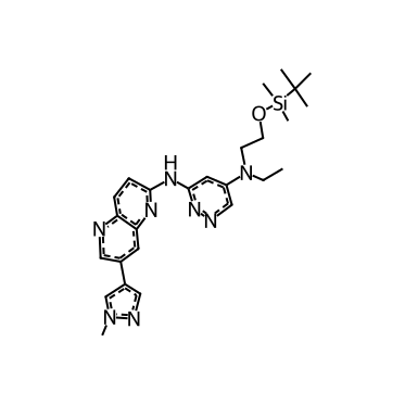 CCN(CCO[Si](C)(C)C(C)(C)C)c1cnnc(Nc2ccc3ncc(-c4cnn(C)c4)cc3n2)c1